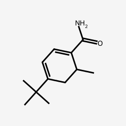 CC1CC(C(C)(C)C)=CC=C1C(N)=O